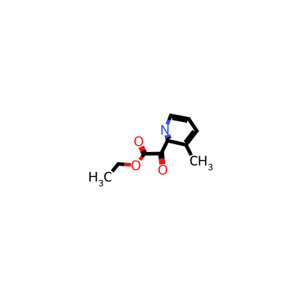 CCOC(=O)C(=O)c1ncccc1C